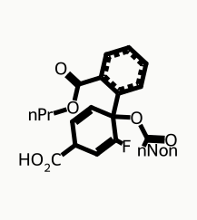 CCCCCCCCCC(=O)OC1(c2ccccc2C(=O)OCCC)C=CC(C(=O)O)C=C1F